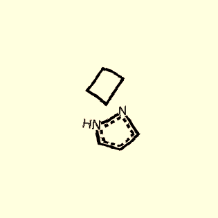 C1CCC1.c1cn[nH]c1